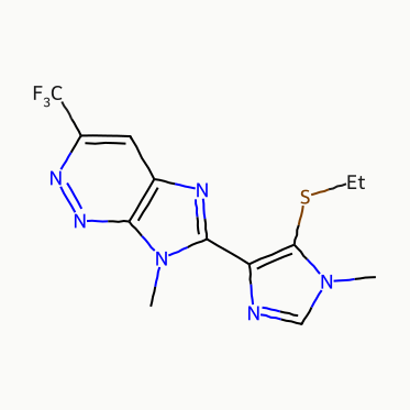 CCSc1c(-c2nc3cc(C(F)(F)F)nnc3n2C)ncn1C